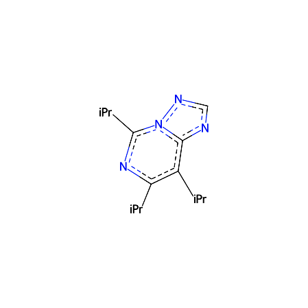 CC(C)c1nc(C(C)C)n2ncnc2c1C(C)C